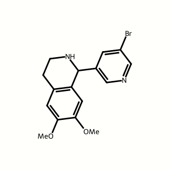 COc1cc2c(cc1OC)C(c1cncc(Br)c1)NCC2